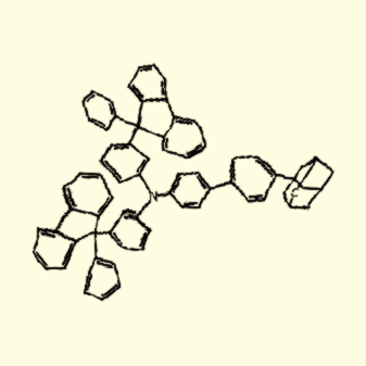 c1ccc(C2(c3cccc(N(c4ccc(-c5ccc(C67CC8CC(CC(C8)C6)C7)cc5)cc4)c4cccc(C5(c6ccccc6)c6ccccc6-c6ccccc65)c4)c3)c3ccccc3-c3ccccc32)cc1